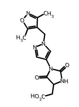 Cc1noc(C)c1Cn1cc(N2C(=O)NC(CC(=O)O)C2=O)cn1